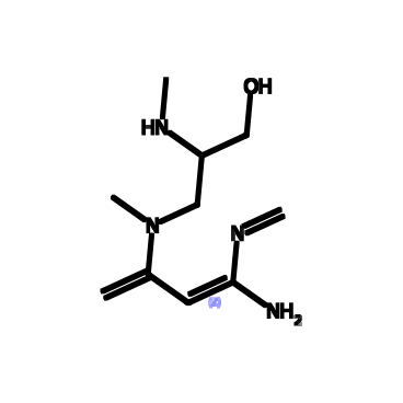 C=N/C(N)=C\C(=C)N(C)CC(CO)NC